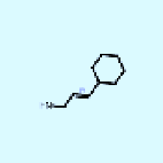 [NH]C/C=C/C1CCCCC1